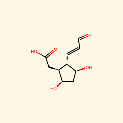 O=CC=C[C@H]1[C@H](CC(=O)O)[C@H](O)C[C@@H]1O